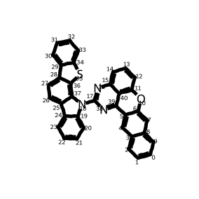 c1ccc2cc3c(cc2c1)Oc1cccc2nc(-n4c5ccccc5c5ccc6c7ccccc7sc6c54)nc-3c12